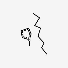 CCCCCCCC.Cn1cccc1